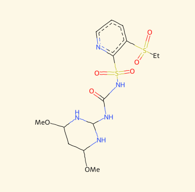 CCS(=O)(=O)c1cccnc1S(=O)(=O)NC(=O)NC1NC(OC)CC(OC)N1